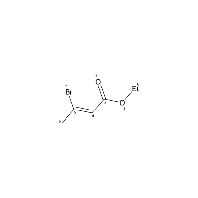 CCOC(=O)C=C(C)Br